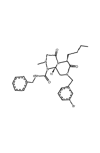 CCCC[C@H]1C(=O)N(Cc2cccc(Br)c2)C[C@H]2N1C(=O)CN(C)N2C(=O)NCc1ccccc1